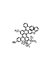 Cc1cc2c3c(c1)N(c1ccccc1-c1ccccc1)c1cc4c(cc1B3c1cc3c(cc1N2c1ccc(C(C)(C)C)cc1C)C(C)(C)CCC3(C)C)oc1ccccc14